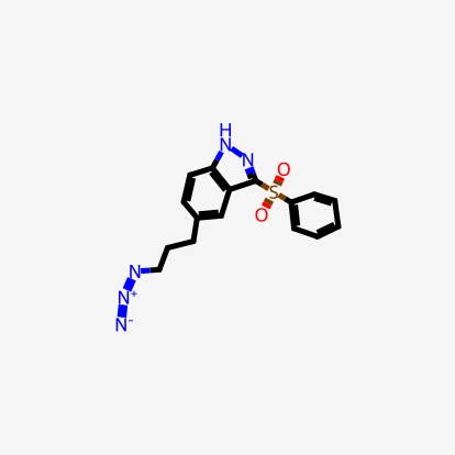 [N-]=[N+]=NCCCc1ccc2[nH]nc(S(=O)(=O)c3ccccc3)c2c1